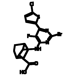 O=C(O)C1C2CCC(CC2)C1Nc1nc(Br)nc(-c2ccc(Cl)s2)c1F